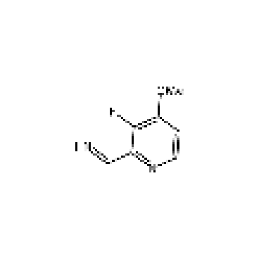 COc1ccnc(C=N)c1F